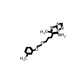 Cc1cccc(OCCOCCCc2c(C)nc3ncnn3c2N)c1